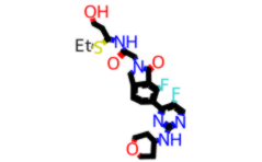 CCSC(CCO)NC(=O)CN1Cc2ccc(-c3nc(NC4CCOCC4)ncc3F)c(F)c2C1=O